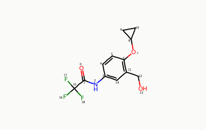 O=C(Nc1ccc(OC2CC2)c(CO)c1)C(F)(F)F